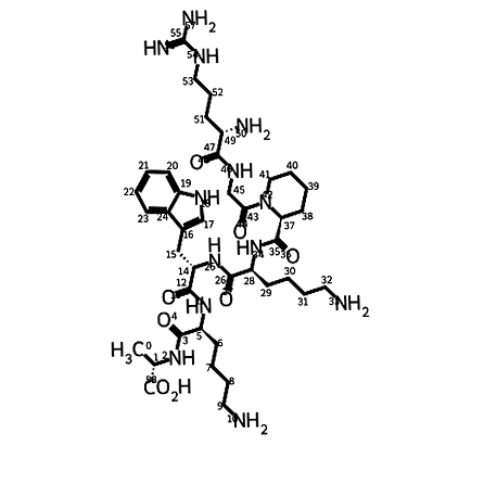 C[C@H](NC(=O)[C@H](CCCCN)NC(=O)[C@H](Cc1c[nH]c2ccccc12)NC(=O)[C@H](CCCCN)NC(=O)[C@@H]1CCCCN1C(=O)CNC(=O)[C@@H](N)CCCNC(=N)N)C(=O)O